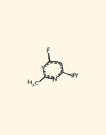 Cc1nc(F)cc(C(C)C)n1